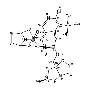 CC(C)(C)OC(=O)N1C2CCC1CN(c1nc(OC[C@]34CCCN3C[C@@H](F)C4)nc3c(C(F)(F)F)c(Cl)ncc13)C2